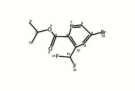 CC(C)OC(=O)c1ncc(Br)cc1C(F)F